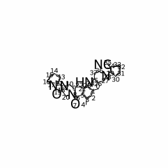 Cc1cc(C)c(C(=O)N2CCN(c3ccccn3)C(=O)C2)c(C)c1NC1CCN(c2ccc#cc2C#N)CC1